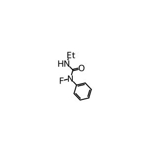 CCNC(=O)N(F)c1ccccc1